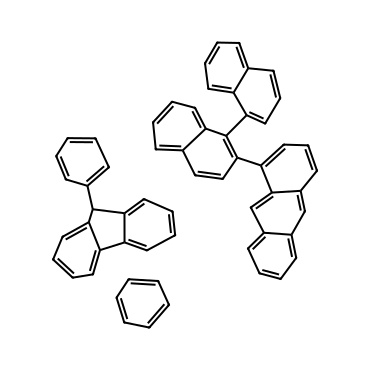 c1ccc(C2c3ccccc3-c3ccccc32)cc1.c1ccc2cc3c(-c4ccc5ccccc5c4-c4cccc5ccccc45)cccc3cc2c1.c1ccccc1